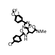 CNC(=O)CC(NC(=O)c1ccc(Cl)cc1)c1nc(-c2ccc(OC(F)(F)F)cc2)no1